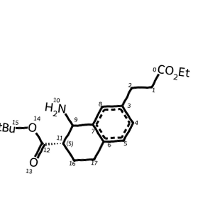 CCOC(=O)CCc1ccc2c(c1)C(N)[C@@H](C(=O)OC(C)(C)C)CC2